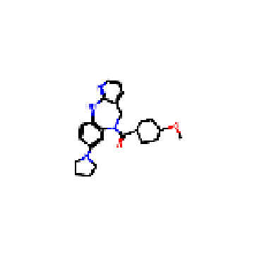 COC1CCC(C(=O)N2Cc3cccnc3Nc3ccc(N4CCCC4)cc32)CC1